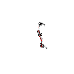 C=CC(=O)OCCCCCCOc1ccc(-c2ccc(OC(=O)c3ccc(OCCCCCCCCC4CC(=C)C(=O)O4)cc3)cc2)cc1